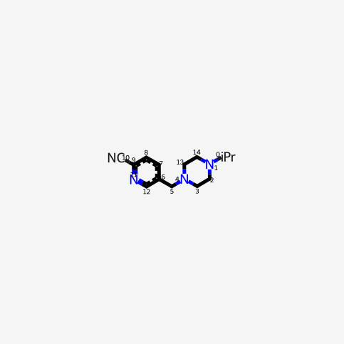 CC(C)N1CCN(Cc2ccc(C#N)nc2)CC1